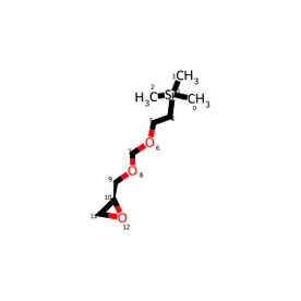 C[Si](C)(C)CCOCOC[C@@H]1CO1